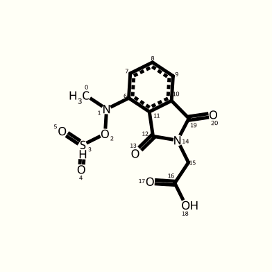 CN(O[SH](=O)=O)c1cccc2c1C(=O)N(CC(=O)O)C2=O